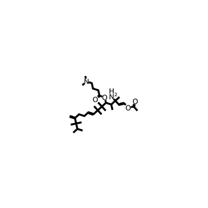 C=C(CC/C=C/C(C)(C)C(C)(C)C(OC(=O)CCCN(C)C)C(C)C(C)(N)C=COC(C)=O)C(C)(C)C(C)C